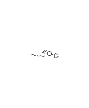 C=CCCC[C@H]1CC[C@H](C2(C(C)=O)C=CC(c3ccccc3)C=C2)CC1